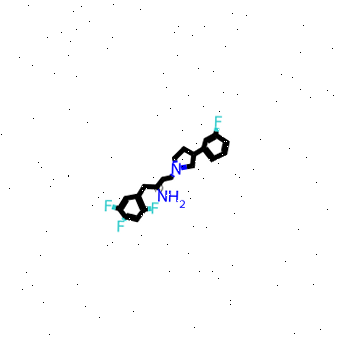 N[C@@H](CCN1CCC(c2cccc(F)c2)C1)Cc1cc(F)c(F)cc1F